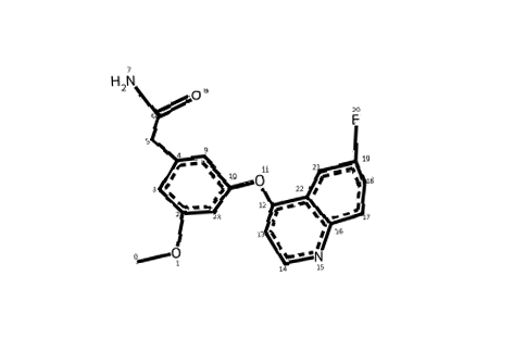 COc1cc(CC(N)=O)cc(Oc2ccnc3ccc(F)cc23)c1